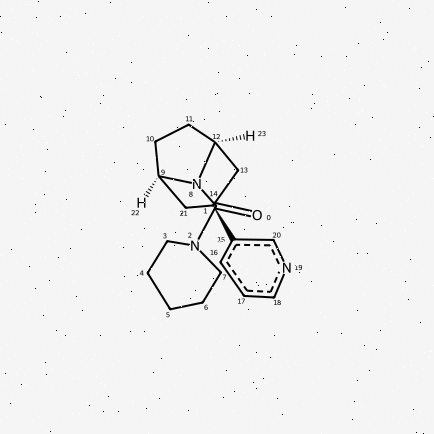 O=C(N1CCCCC1)N1[C@@H]2CC[C@H]1C[C@@H](c1cccnc1)C2